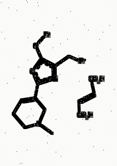 CCOc1oc(C2=CCCN(C)C2)nc1CC(C)C.O=C(O)C=CC(=O)O